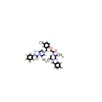 CC1CN(C(=O)COc2ccc(Cl)cc2CN2CCN(C(=O)Nc3ccc(F)c(F)c3F)CC2)C(C)CN1Cc1ccc(F)cc1